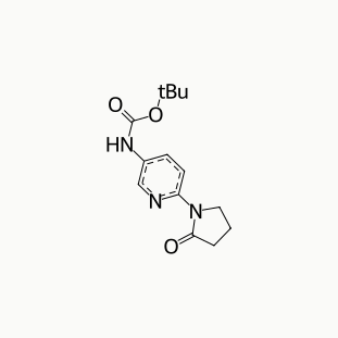 CC(C)(C)OC(=O)Nc1ccc(N2CCCC2=O)nc1